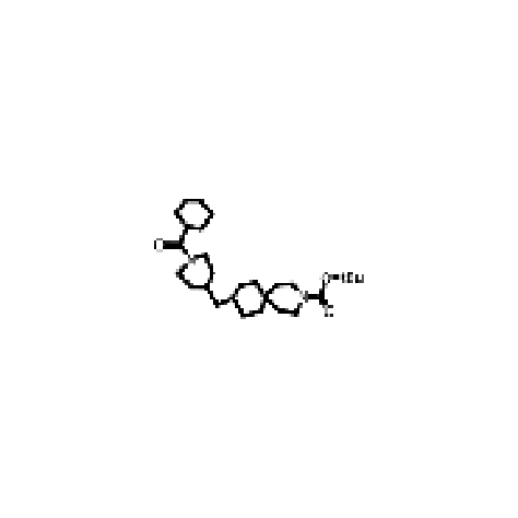 CC(C)(C)OC(=O)N1CCC2(CCC(CC3CCN(C(=O)C4CCCCC4)CC3)CC2)CC1